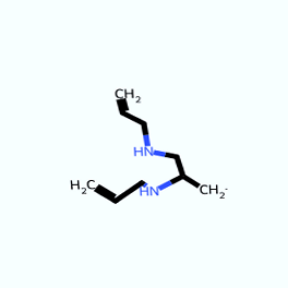 [CH2]C(CNCC=C)NCC=C